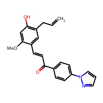 C=CCc1cc(/C=C/C(=O)c2ccc(-n3cccn3)cc2)c(OC)cc1O